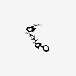 O=C(Nc1ccc(C2CC[CH]CC2)cc1)c1nnc(Nc2ccc(SC(F)(F)F)cc2)o1